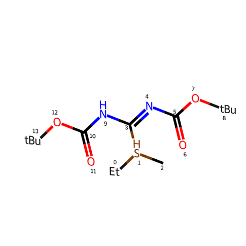 CC[SH](C)/C(=N\C(=O)OC(C)(C)C)NC(=O)OC(C)(C)C